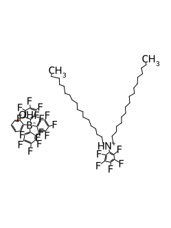 CCCCCCCCCCCCCCCCCC[NH+](CCCCCCCCCCCCCCCCCC)c1c(F)c(F)c(F)c(F)c1F.Oc1ccccc1[B-](c1c(F)c(F)c(F)c(F)c1F)(c1c(F)c(F)c(F)c(F)c1F)c1c(F)c(F)c(F)c(F)c1F